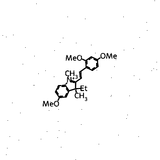 CCC1(C)C(/C=C/c2ccc(OC)cc2OC)=[N+](C)c2ccc(OC)cc21